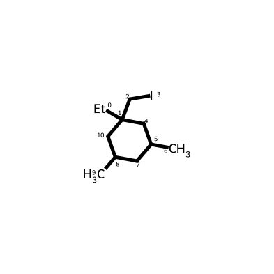 CCC1(CI)CC(C)CC(C)C1